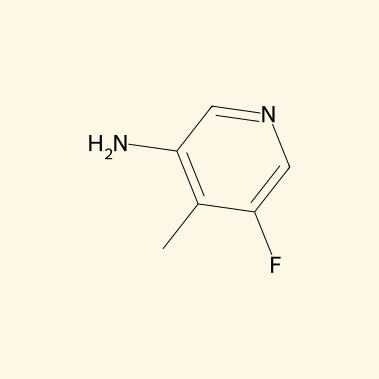 Cc1c(N)cncc1F